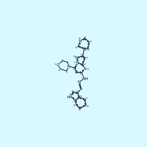 C(=NNc1cc(N2CCOCC2)n2nc(-c3cccnc3)cc2n1)c1c[nH]c2ccccc12